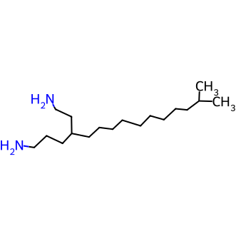 CC(C)CCCCCCCCCC(CCN)CCCN